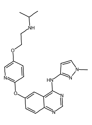 CC(C)NCCOc1ccc(Oc2ccc3ncnc(Nc4ccn(C)n4)c3c2)nc1